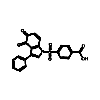 O=C1C=Cc2c(c(-c3ccccc3)cn2S(=O)(=O)c2ccc(C(=O)O)cc2)C1=O